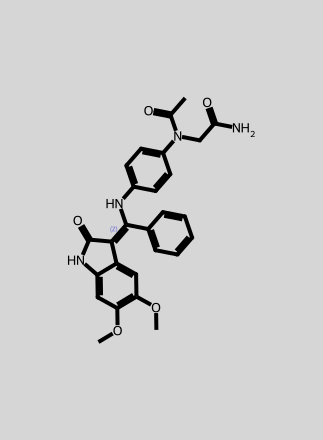 COc1cc2c(cc1OC)/C(=C(/Nc1ccc(N(CC(N)=O)C(C)=O)cc1)c1ccccc1)C(=O)N2